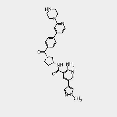 Cn1cc(-c2cnc(N)c(C(=O)N[C@@H]3CCN(C(=O)c4ccc(-c5ccnc(N6CCNCC6)c5)cc4)C3)c2)cn1